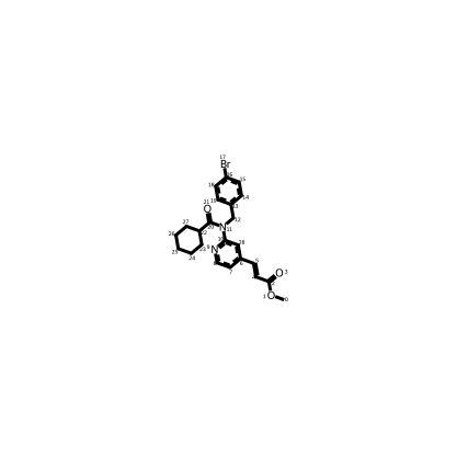 COC(=O)C=Cc1ccnc(N(Cc2ccc(Br)cc2)C(=O)C2CCCCC2)c1